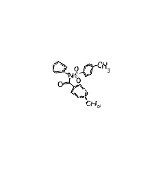 Cc1ccc(C(=O)N(c2ccccc2)S(=O)(=O)c2ccc(C)cc2)cc1